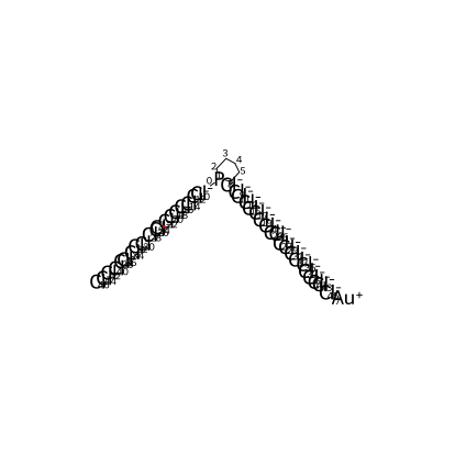 CP1CCCCC1.[Au+].[Cl-].[Cl-].[Cl-].[Cl-].[Cl-].[Cl-].[Cl-].[Cl-].[Cl-].[Cl-].[Cl-].[Cl-].[Cl-].[Cl-].[Cl-].[Cl-].[Cl-].[Cl-].[Cl-].[Cl-].[Cl-].[Cl-].[Cl-].[Cl-].[Cl-].[Cl-].[Cl-].[Cl-].[Cl-].[Cl-].[Cl-].[Cl-].[Cl-].[Cl-].[Cl-].[Cl-].[Cl-].[Cl-].[Cl-]